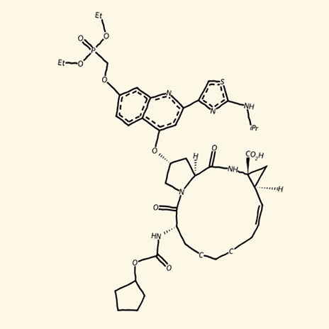 CCOP(=O)(COc1ccc2c(O[C@@H]3C[C@H]4C(=O)N[C@]5(C(=O)O)C[C@H]5/C=C\CCCCC[C@H](NC(=O)OC5CCCC5)C(=O)N4C3)cc(-c3csc(NC(C)C)n3)nc2c1)OCC